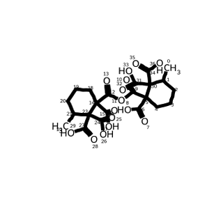 CC1CCCC(C(=O)O)(C(=O)OC(=O)C2(C(=O)O)CCCC(C)C2(C(=O)O)C(=O)O)C1(C(=O)O)C(=O)O